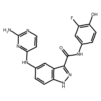 Nc1nccc(Nc2ccc3[nH]nc(C(=O)Nc4ccc(O)c(F)c4)c3c2)n1